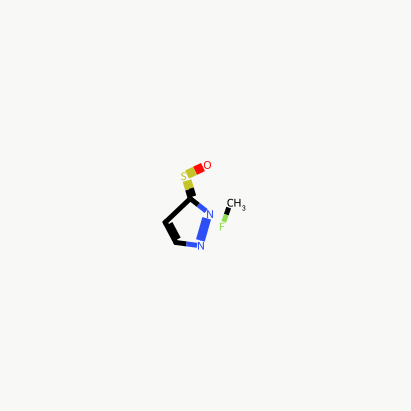 CF.O=S=C1C=CN=N1